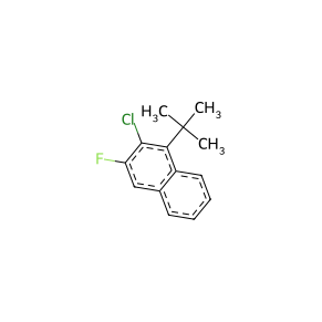 CC(C)(C)c1c(Cl)c(F)cc2ccccc12